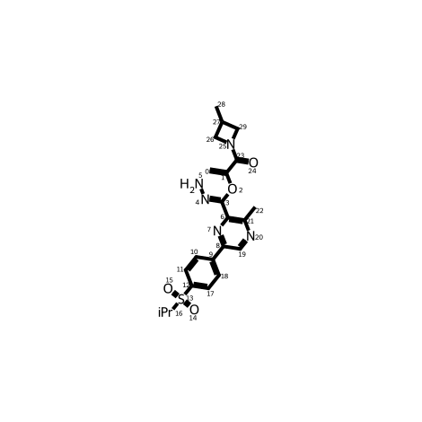 C=C(O/C(=N\N)c1nc(-c2ccc(S(=O)(=O)C(C)C)cc2)cnc1C)C(=O)N1CC(C)C1